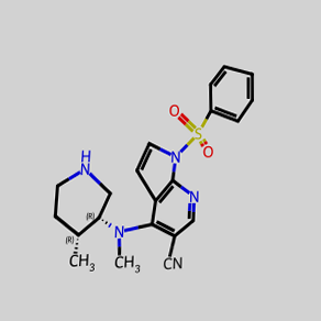 C[C@@H]1CCNC[C@@H]1N(C)c1c(C#N)cnc2c1ccn2S(=O)(=O)c1ccccc1